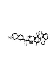 Cc1cn(-c2c(Cl)cccc2Cl)c(=O)c2cnc(Nc3ccc4c(c3)CNCC4)nc12